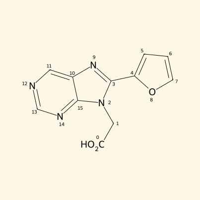 O=C(O)Cn1c(-c2ccco2)nc2cncnc21